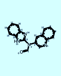 O=CN(c1cnc2ccccc2c1)c1nc2ccccc2[nH]1